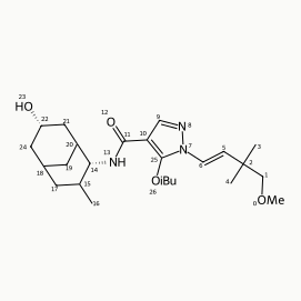 COCC(C)(C)/C=C/n1ncc(C(=O)N[C@@H]2C(C)CC3CC2C[C@@H](O)C3)c1OCC(C)C